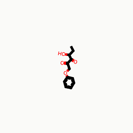 CCC(O)C(=O)C(=O)COc1ccccc1